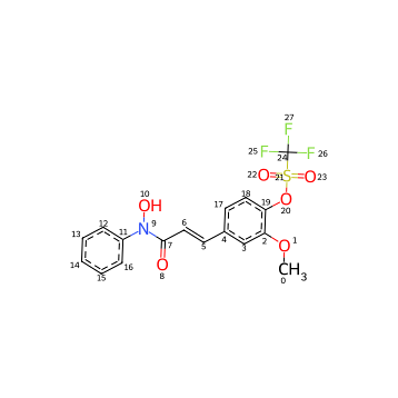 COc1cc(C=CC(=O)N(O)c2ccccc2)ccc1OS(=O)(=O)C(F)(F)F